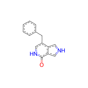 O=c1[nH]cc(Cc2ccccc2)c2c[nH]cc12